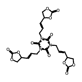 O=C1OCC(/C=C/Cn2c(=O)n(C/C=C/C3COC(=O)O3)c(=O)n(C/C=C/C3COC(=O)O3)c2=O)O1